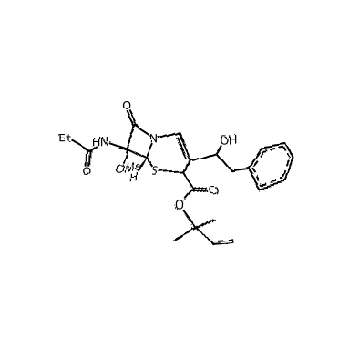 C=CC(C)(C)OC(=O)C1S[C@H]2N(C=C1C(O)Cc1ccccc1)C(=O)C2(NC(=O)CC)OC